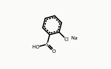 O=S(O)c1ccccc1Cl.[Na]